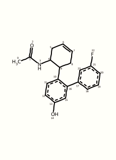 CC(=O)NC1CC=CCC1c1ccc(O)cc1-c1cccc(F)c1